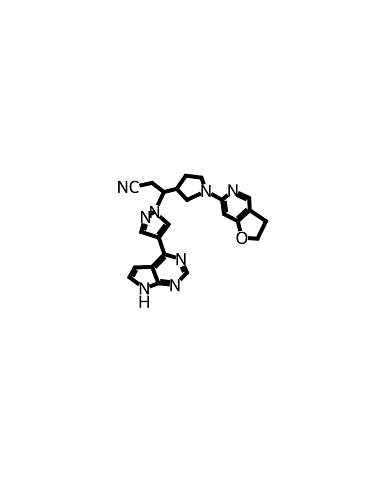 N#CCC(C1CCN(c2cc3c(cn2)CCO3)C1)n1cc(-c2ncnc3[nH]ccc23)cn1